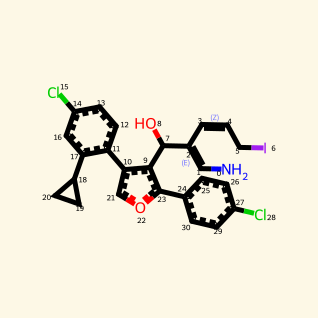 N/C=C(\C=C/CI)C(O)c1c(-c2ccc(Cl)cc2C2CC2)coc1-c1ccc(Cl)cc1